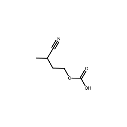 CC(C#N)CCOC(=O)O